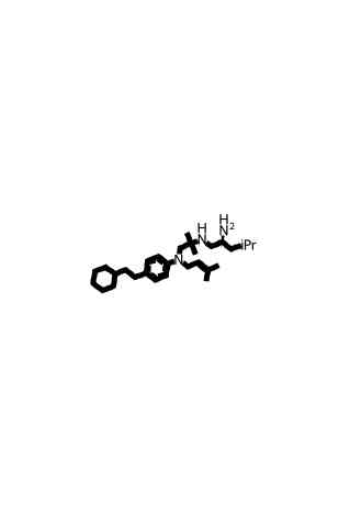 CC(C)=CCN(CC(C)(C)NC[C@@H](N)CC(C)C)c1ccc(CCC2CCCCC2)cc1